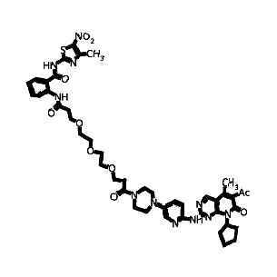 CC(=O)c1c(C)c2cnc(Nc3ccc(N4CCN(C(=O)CCOCCOCCOCCC(=O)Nc5ccccc5C(=O)Nc5nc(C)c([N+](=O)[O-])s5)CC4)cn3)nc2n(C2CCCC2)c1=O